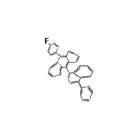 Fc1ccc(-c2c3ccccc3c(-c3ccc(-c4ccccc4)c4ccccc34)c3ccccc23)cc1